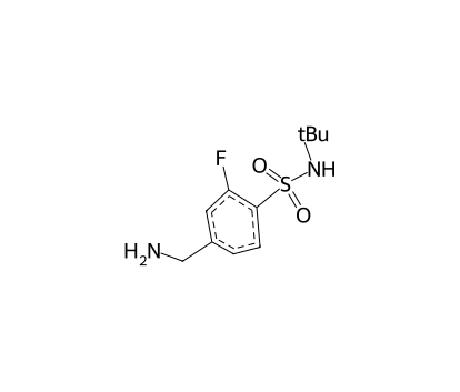 CC(C)(C)NS(=O)(=O)c1ccc(CN)cc1F